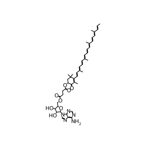 C/C=C/C(C)=C/C=C/C(C)=C/C=C/C=C(C)/C=C/C=C(C)/C=C/C1=C(C)C(=O)C(OC(=O)CCC(=O)OCC2OC(n3cnc4c(N)ncnc43)C(O)C2O)CC1(C)C